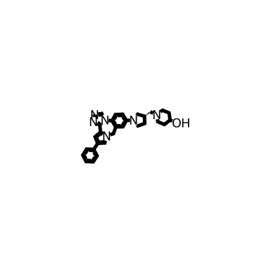 OC1CCN(C[C@@H]2CCN(c3ccc4c(c3)Cn3cc(-c5ccccc5)cc3-c3nncn3-4)C2)CC1